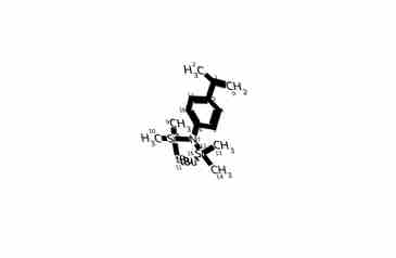 C=C(C)c1ccc(N([Si](C)(C)C(C)(C)C)[Si](C)(C)C(C)(C)C)cc1